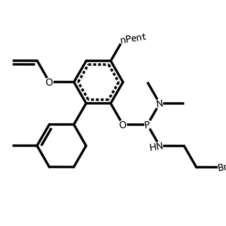 C=COc1cc(CCCCC)cc(OP(NCCBr)N(C)C)c1C1C=C(C)CCC1